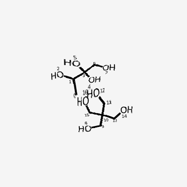 CC(O)C(O)(O)CO.OCC(CO)(CO)CO